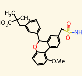 COc1cccc2c1-c1ccc(CS(N)(=O)=O)cc1C(c1cccc(CC(C)(C)C(=O)O)c1)O2